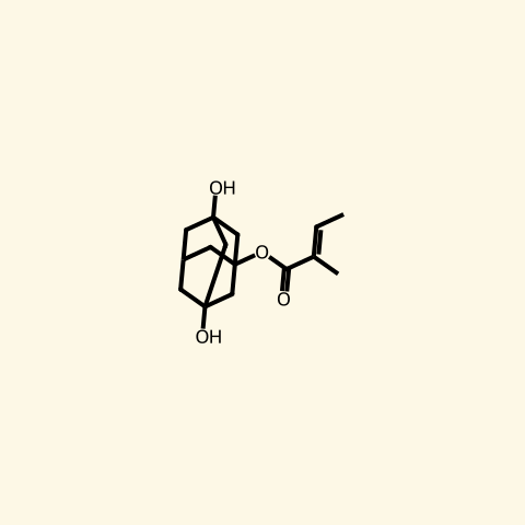 CC=C(C)C(=O)OC12CC3CC(O)(CC(O)(C3)C1)C2